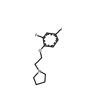 Fc1cc(I)ccc1OCCN1CCCC1